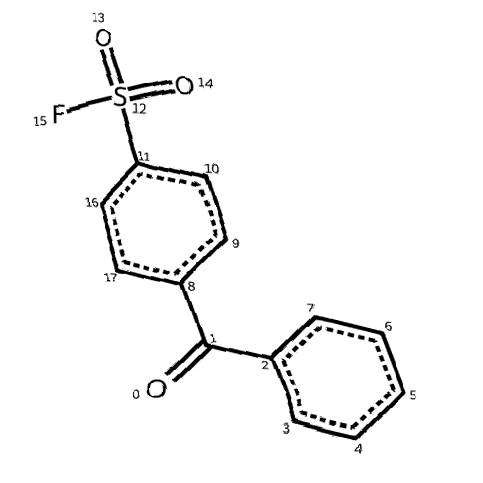 O=C(c1ccccc1)c1ccc(S(=O)(=O)F)cc1